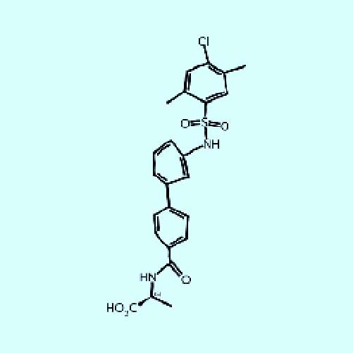 Cc1cc(S(=O)(=O)Nc2cccc(-c3ccc(C(=O)N[C@@H](C)C(=O)O)cc3)c2)c(C)cc1Cl